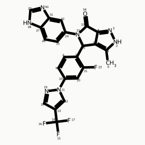 Cc1[nH]nc2c1C(c1ccc(-n3cc(C(F)(F)F)cn3)cc1F)N(c1ccc3[nH]cnc3c1)C2=O